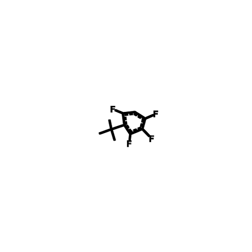 CC(C)(C)c1c(F)cc(F)c(F)c1F